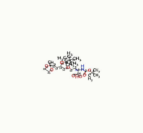 CC(C)(C)OC(=O)N/C(=C/COCC(CCC1(C)OCCO1)O[Si](C)(C)C(C)(C)C)C(=O)O